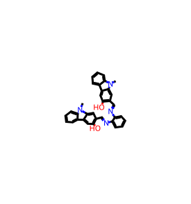 Cn1c2ccccc2c2cc(O)c(/C=N/c3ccccc3/N=C/c3cc4c(cc3O)c3ccccc3n4C)cc21